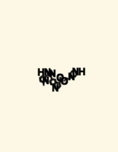 Cc1cccc(-c2[nH]cnc2-c2ccc3nccc(C(=O)OCCN4CCNCC4)c3c2)n1